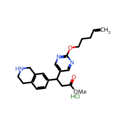 C=CCCCOc1ncc(C(CC(=O)OC)c2ccc3c(c2)CNCC3)cn1.Cl